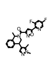 Cc1c(C2CN(C(=O)c3cc(-c4ncc(F)cc4F)on3)C(C)c3ccccc32)cnn1C